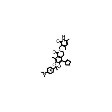 Cc1cc(C)c(CN2CCc3c(c(C)c4c(c3C3=CCCC3)OC(C)(C35CCC(N(C)C)(CC3)CC5)O4)C2=O)c(=O)[nH]1